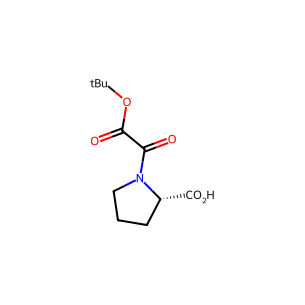 CC(C)(C)OC(=O)C(=O)N1CCC[C@H]1C(=O)O